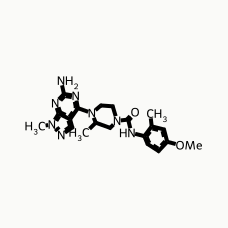 COc1ccc(NC(=O)N2CCN(c3nc(N)nc4c3cnn4C)C(C)C2)c(C)c1